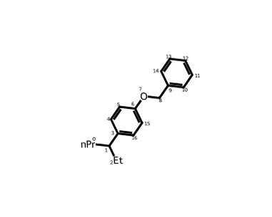 CCCC(CC)c1ccc(OCc2ccccc2)cc1